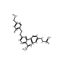 COCc1ccc(CCc2cnc3c(N)nc4cc(CCC(C)=O)ccc4c3c2)c(C)c1